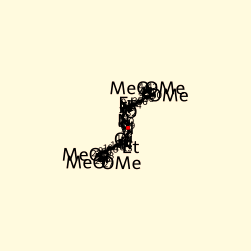 CCN(CCCN1CCN(CCCN(CC)C(=O)/C=C/C=C/c2cc(OC)c(OC)c(OC)c2)CC1)C(=O)/C=C/C=C/c1cc(OC)c(OC)c(OC)c1